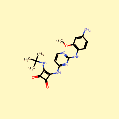 COc1cc(N)ccc1Nc1nccc(Nc2c(NC(C)(C)C)c(=O)c2=O)n1